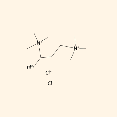 CCCC(CC[N+](C)(C)C)[N+](C)(C)C.[Cl-].[Cl-]